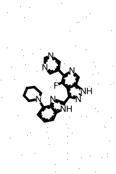 Fc1c(-c2cncnc2)ncc2[nH]nc(-c3nc4c(N5CCCCC5)cccc4[nH]3)c12